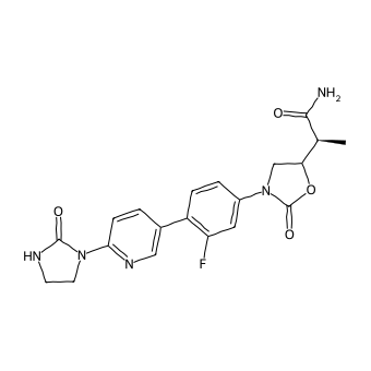 C[C@H](C(N)=O)C1CN(c2ccc(-c3ccc(N4CCNC4=O)nc3)c(F)c2)C(=O)O1